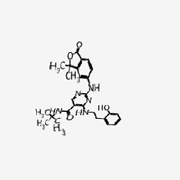 CC(C)(C)NC(=O)c1cnc(Nc2ccc3c(c2)C(C)(C)OC3=O)nc1NCCc1ccccc1O